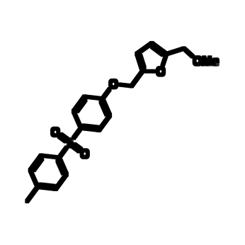 COCc1ccc(COc2ccc(S(=O)(=O)c3ccc(C)cc3)cc2)o1